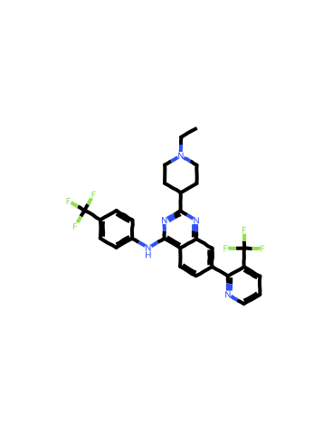 CCN1CCC(c2nc(Nc3ccc(C(F)(F)F)cc3)c3ccc(-c4ncccc4C(F)(F)F)cc3n2)CC1